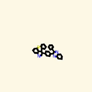 c1ccc(-c2nc3ccccc3nc2-c2ccc(-c3cnc4cccc5c4c3-c3ccccc3S5)cc2)cc1